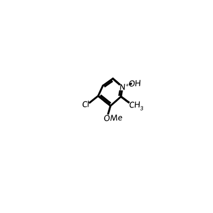 COc1c(Cl)cc[n+](O)c1C